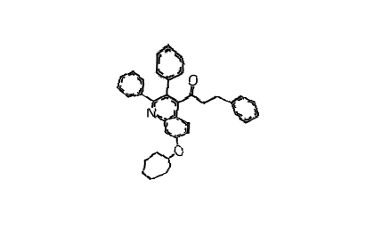 O=C(CCc1ccccc1)c1c(-c2ccccc2)c(-c2ccccc2)nc2cc(OC3CCCCC3)ccc12